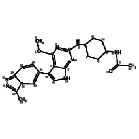 COc1nc(NC2CCC(NC(C)=O)CC2)nc2[nH]cc(-c3ccc4nnc(C)n4c3)c12